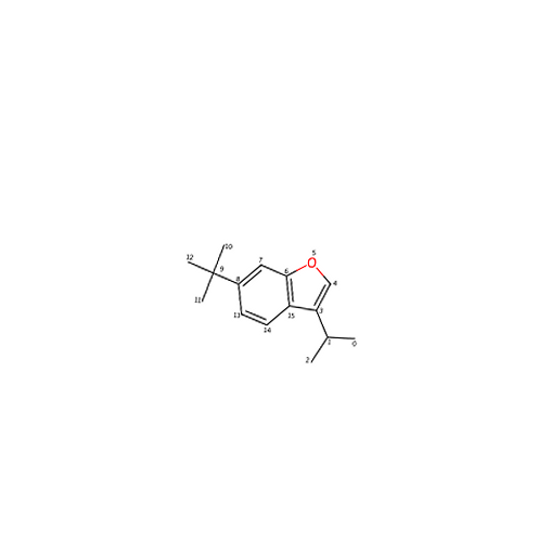 CC(C)c1coc2cc(C(C)(C)C)ccc12